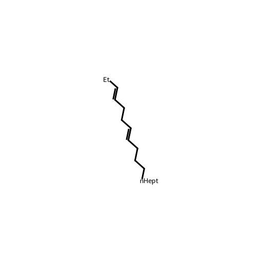 [CH2]CC=CCCC=CCCCCCCCCCC